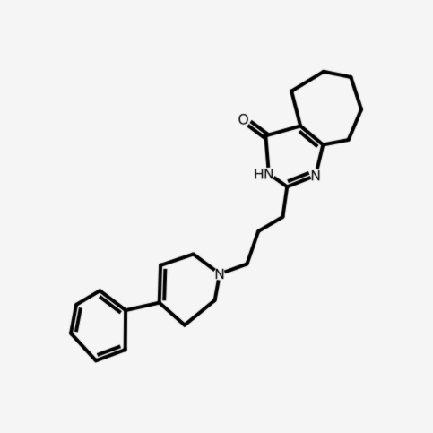 O=c1[nH]c(CCCN2CC=C(c3ccccc3)CC2)nc2c1CCCCC2